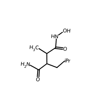 CC(C)CC(C(N)=O)C(C)C(=O)NO